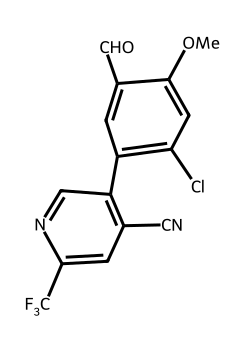 COc1cc(Cl)c(-c2cnc(C(F)(F)F)cc2C#N)cc1C=O